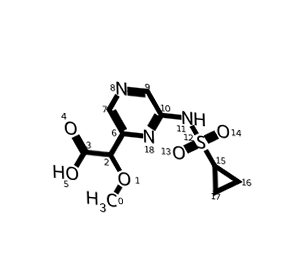 COC(C(=O)O)c1cncc(NS(=O)(=O)C2CC2)n1